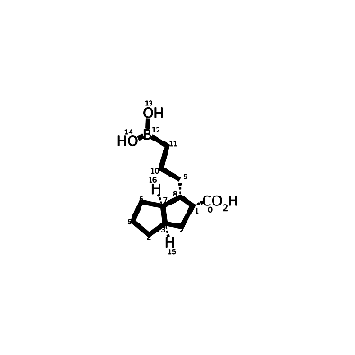 O=C(O)[C@@H]1C[C@H]2CCC[C@H]2[C@@H]1CCCB(O)O